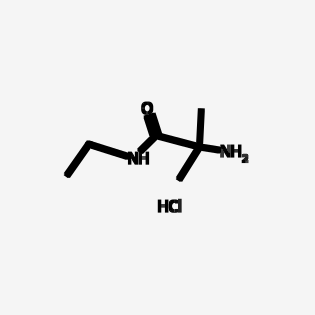 CCNC(=O)C(C)(C)N.Cl